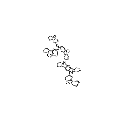 C1=Cc2c(c3cc4c(cc3n2-c2ccc3oc5ccccc5c3c2)c2ccccc2n4-c2ccc3oc4ccc(B(c5ccc6oc7ccccc7c6c5)c5ccc6oc7ccccc7c6c5)cc4c3c2)CC1